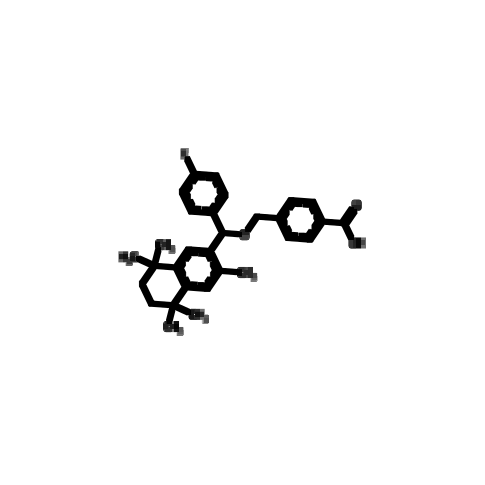 Cc1cc2c(cc1C(OCc1ccc(C(=O)O)cc1)c1ccc(F)cc1)C(C)(C)CCC2(C)C